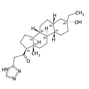 CC[C@@]1(O)CC[C@H]2[C@H](CC[C@@H]3[C@@H]2CC[C@]2(C)[C@@H](C(=O)Cc4nnc[nH]4)CC[C@@H]32)C1